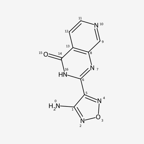 Nc1nonc1-c1nc2cnccc2c(=O)[nH]1